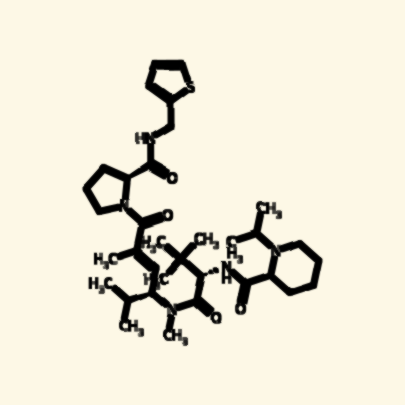 C/C(=C\[C@H](C(C)C)N(C)C(=O)[C@@H](NC(=O)C1CCCCN1C(C)C)C(C)(C)C)C(=O)N1CCC[C@H]1C(=O)NCc1cccs1